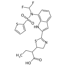 CCC(C(=O)O)C1CN=C(c2cc3cccc(N(C(F)F)S(=O)(=O)c4cccs4)c3[nH]2)S1